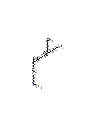 CC/C=C\CCCCCOC(=O)OCCCCN(CC)CCCCCCCC(=O)OC(CCCCCCCC)CCCCCCCC